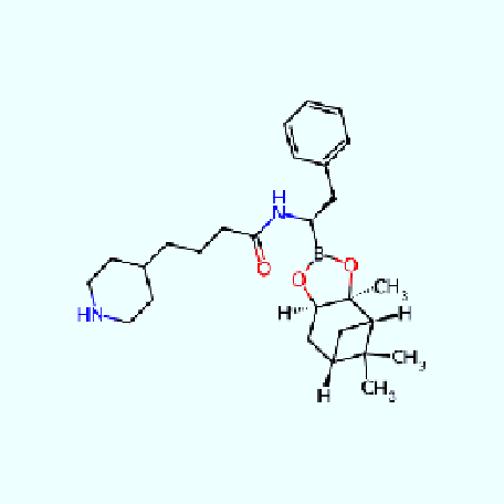 CC1(C)[C@@H]2C[C@H]3OB([C@H](Cc4ccccc4)NC(=O)CCCC4CCNCC4)O[C@@]3(C)[C@H]1C2